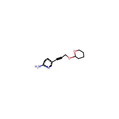 Nc1ccc(C#CCOC2CCCCO2)cn1